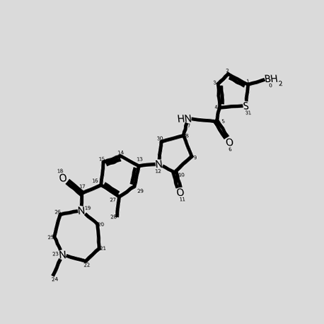 Bc1ccc(C(=O)NC2CC(=O)N(c3ccc(C(=O)N4CCCN(C)CC4)c(C)c3)C2)s1